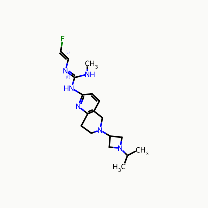 CN/C(=N\C=C\F)Nc1ccc2c(n1)CCN(C1CN(C(C)C)C1)C2